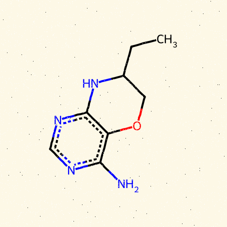 CCC1COc2c(N)ncnc2N1